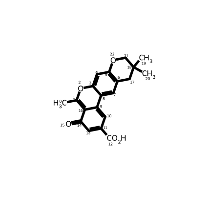 Cc1oc2cc3c(cc2c2cc(C(=O)O)cc(=O)c1-2)CC(C)(C)CO3